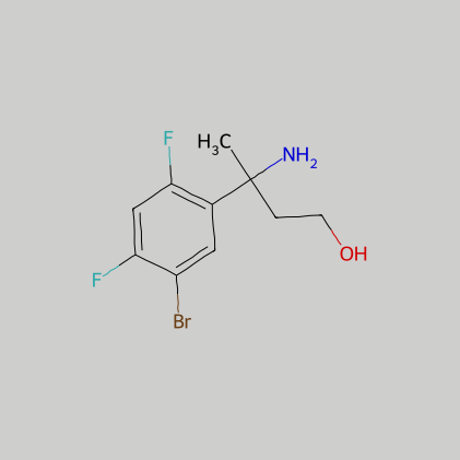 CC(N)(CCO)c1cc(Br)c(F)cc1F